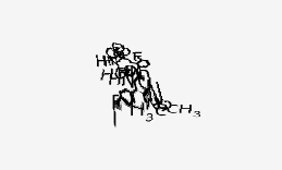 CC(C)Oc1ncc([C@H](c2ccc(F)cc2)[C@H](NC(=O)O)C(=O)Nc2cccc(F)c2CC[C@H]2CN[C@@H]3CCCS(=O)(=O)N2C3)cn1